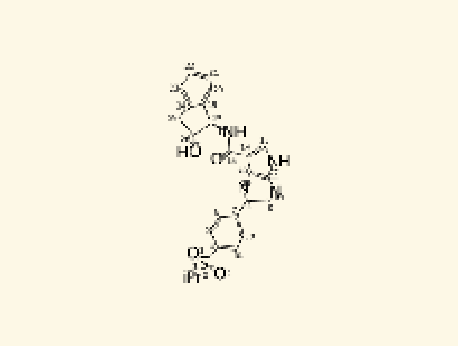 CC(C)S(=O)(=O)c1ccc(-c2cnc3[nH]cc(C(=O)N[C@@H]4c5ccccc5C[C@H]4O)c3n2)cc1